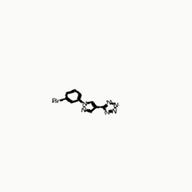 Brc1cccc(-n2cc(C3=N[N]N=N3)cn2)c1